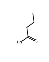 CCCC([NH])=S